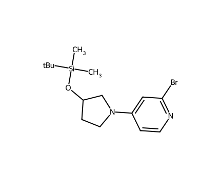 CC(C)(C)[Si](C)(C)OC1CCN(c2ccnc(Br)c2)C1